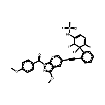 COc1ccc(C(=O)n2nc(OC)c3cc(C#Cc4ccccc4C4(Cl)C(F)=CC=C(NS(C)(=O)=O)C4F)cnc32)cc1